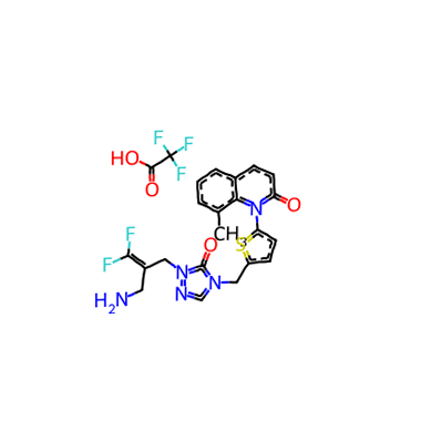 Cc1cccc2ccc(=O)n(-c3ccc(Cn4cnn(CC(CN)=C(F)F)c4=O)s3)c12.O=C(O)C(F)(F)F